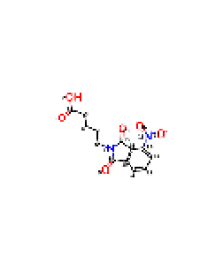 O=C(O)CCCCN1C(=O)c2cccc([N+](=O)[O-])c2C1=O